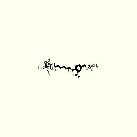 CC(C)(C)[Si](C)(C)OCCCCCCNc1ccc(COS(C)(=O)=O)cc1[N+](=O)[O-]